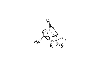 CC(C)OC1(C(C)(C)C)CCN(C)C1